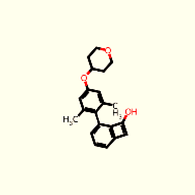 Cc1cc(OC2CCOCC2)cc(C)c1-c1cccc2c1C(O)=C2